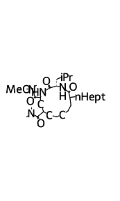 CCCCCCCC1CCCCCC(C(=O)N(C)C)CC(C(=O)N(C)OC)NC(=O)[C@H](CC(C)C)NC1=O